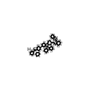 C=P(c1ccccc1)(c1ccccc1)c1ccc(-c2ccc3c(c2)C(c2ccccc2)(c2ccccc2)C2CC(c4nc5ccccc5c5nc6ccccc6n45)=CC=C32)cc1